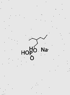 CCCC(CC)CCO[PH](=O)O.[Na]